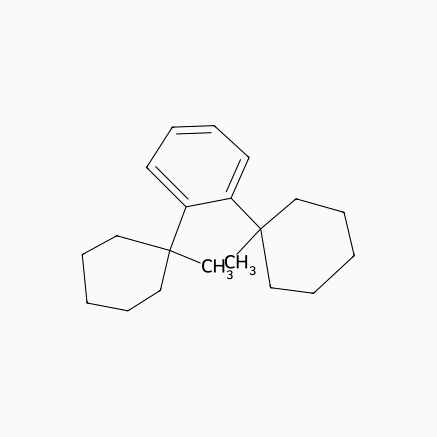 CC1(c2ccccc2C2(C)CCCCC2)CCCCC1